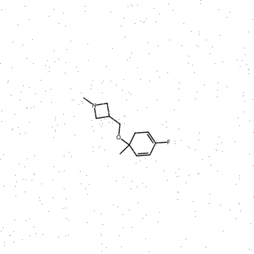 CN1CC(COC2(C)C=CC(F)=CC2)C1